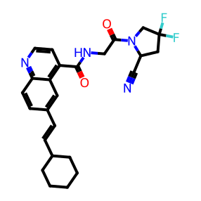 N#CC1CC(F)(F)CN1C(=O)CNC(=O)c1ccnc2ccc(/C=C/C3CCCCC3)cc12